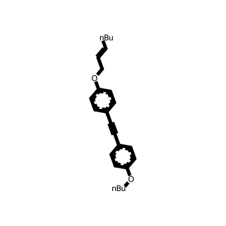 CCCCC=CCOc1ccc(C#Cc2ccc(OCCCC)cc2)cc1